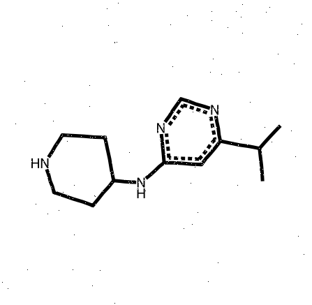 CC(C)c1cc(NC2CCNCC2)ncn1